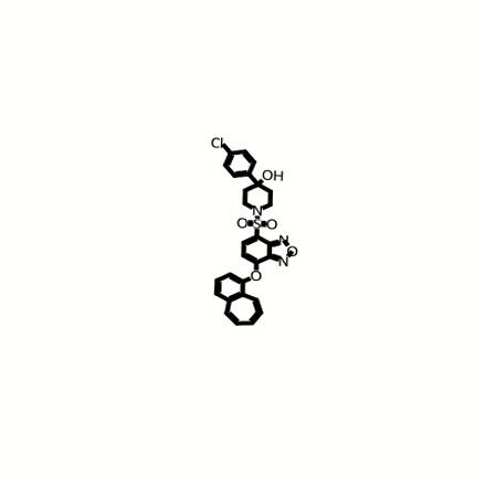 O=S(=O)(c1ccc(Oc2cccc3c2C=C=CC=C3)c2nonc12)N1CCC(O)(c2ccc(Cl)cc2)CC1